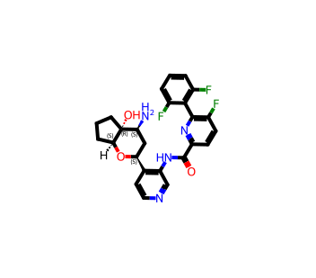 N[C@H]1C[C@@H](c2ccncc2NC(=O)c2ccc(F)c(-c3c(F)cccc3F)n2)O[C@H]2CCC[C@]21O